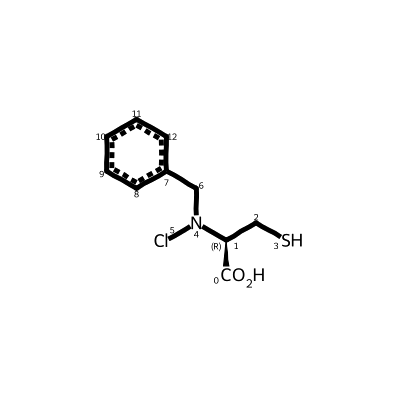 O=C(O)[C@H](CS)N(Cl)Cc1ccccc1